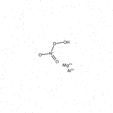 O=[N+]([O-])OO.[Al+3].[Mg+2]